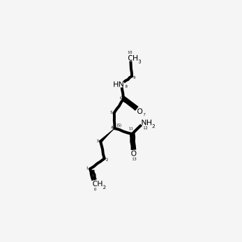 C=CCC[C@@H](CC(=O)NCC)C(N)=O